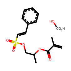 C=C(C)C(=O)OC(C)COS(=O)(=O)C=Cc1ccccc1.O=C(O)O